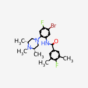 Cc1cc(C(=O)Nc2cc(Br)c(F)cc2N2C[C@@H](C)N(C)[C@@H](C)C2)cc(C)c1F